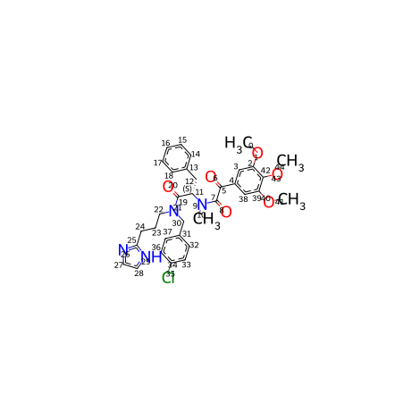 COc1cc(C(=O)C(=O)N(C)[C@@H](Cc2ccccc2)C(=O)N(CCCc2ncc[nH]2)Cc2ccc(Cl)cc2)cc(OC)c1OC